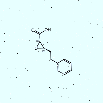 O=C(O)[C@H]1O[C@@H]1CCc1ccccc1